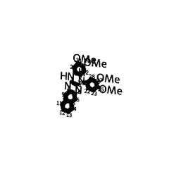 COc1ccc(Nc2nc3cc4ccccc4cc3nc2Nc2ccc(OC)c(OC)c2)cc1OC